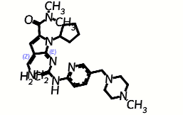 C=C(/N=C1\C(=C/N)C=C(C(=O)N(C)C)N1C1CCCC1)Nc1ccc(CN2CCN(C)CC2)cn1